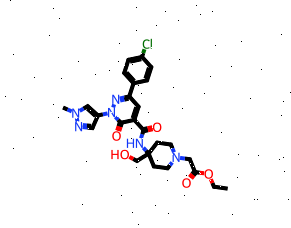 CCOC(=O)CN1CCC(CO)(NC(=O)c2cc(-c3ccc(Cl)cc3)nn(-c3cnn(C)c3)c2=O)CC1